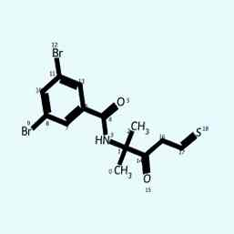 CC(C)(NC(=O)c1cc(Br)cc(Br)c1)C(=O)CC=S